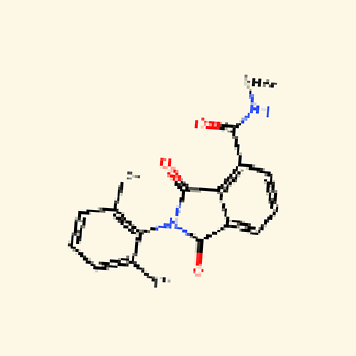 CC(=O)NNC(=O)c1cccc2c1C(=O)N(c1c(C(C)C)cccc1C(C)C)C2=O